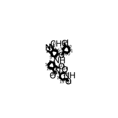 Cn1ncc2cc(Nc3cccc4c3C(=O)N(C3CCC(=O)NC3=O)C4=O)c(Oc3cccc(Cl)c3)cc21